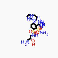 NC[C@@H](O)CNS(=O)(=O)c1ccc(N2CCCn3ccnc32)c(-c2nnn[nH]2)c1S(N)(=O)=O